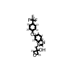 OC1(Cn2cnc3ccc(Oc4ccc(C(F)(F)F)cc4)cc32)COC1